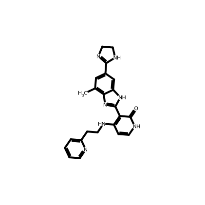 Cc1cc(C2=NCCN2)cc2[nH]c(-c3c(NCCc4ccccn4)cc[nH]c3=O)nc12